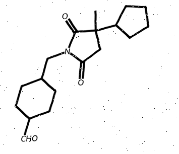 CC1(C2CCCC2)CC(=O)N(CC2CCC(C=O)CC2)C1=O